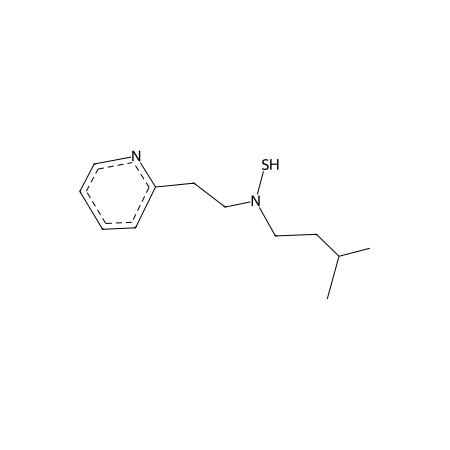 CC(C)CCN(S)CCc1ccccn1